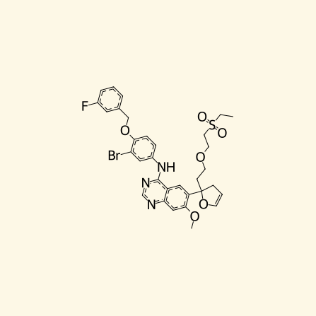 CCS(=O)(=O)CCOCCC1(c2cc3c(Nc4ccc(OCc5cccc(F)c5)c(Br)c4)ncnc3cc2OC)CC=CO1